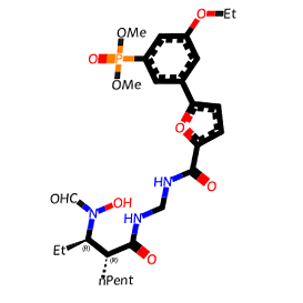 CCCCC[C@@H](C(=O)NCNC(=O)c1ccc(-c2cc(OCC)cc(P(=O)(OC)OC)c2)o1)[C@@H](CC)N(O)C=O